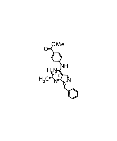 C=C(/N=C1\C(=C(/N)Nc2ccc(C(=O)OC)cc2)C=NN1Cc1ccccc1)C(F)(F)F